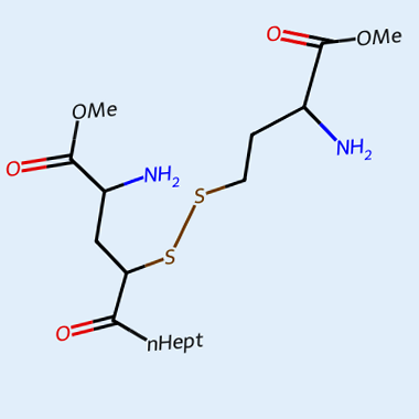 CCCCCCCC(=O)C(CC(N)C(=O)OC)SSCCC(N)C(=O)OC